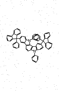 c1ccc(-n2c3ccc(C4(c5ccccc5)c5ccccc5-c5ccccc54)cc3c3c2ccc2c4cc(C5(c6ccccc6)c6ccccc6-c6ccccc65)ccc4n(-c4ccccc4)c23)cc1